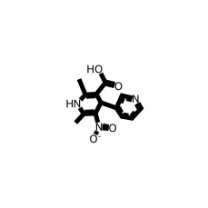 CC1=C(C(=O)O)C(c2cccnc2)C([N+](=O)[O-])=C(C)N1